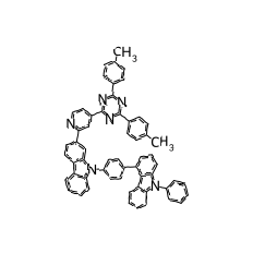 Cc1ccc(-c2nc(-c3ccc(C)cc3)nc(-c3ccnc(-c4ccc5c6ccccc6n(-c6ccc(-c7cccc8c7c7ccccc7n8-c7ccccc7)cc6)c5c4)c3)n2)cc1